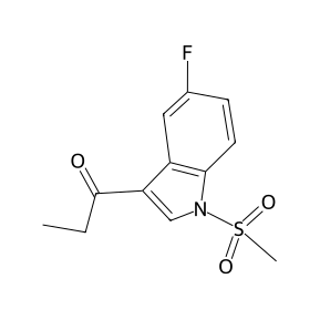 CCC(=O)c1cn(S(C)(=O)=O)c2ccc(F)cc12